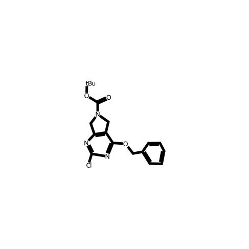 CC(C)(C)OC(=O)N1Cc2nc(Cl)nc(OCc3ccccc3)c2C1